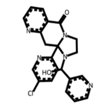 O=C1c2cccnc2CC2(c3ccc(Cl)cn3)N1CCN2C(O)c1cccnc1